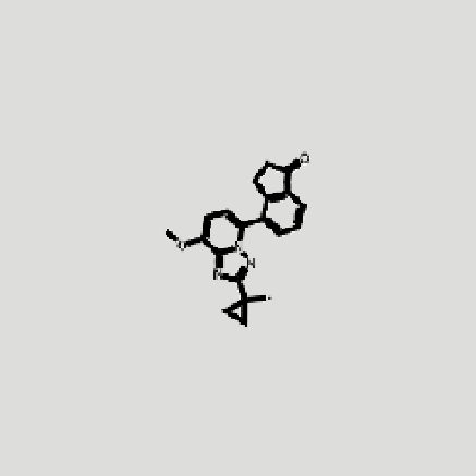 [CH2]C1(c2nc3c(OC)ccc(-c4cccc5c4CCC5=O)n3n2)CC1